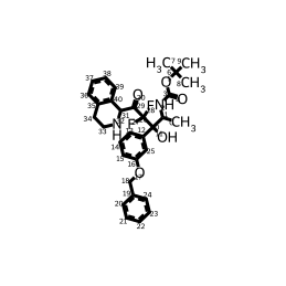 CC(NC(=O)OC(C)(C)C)C(O)(c1cccc(OCc2ccccc2)c1)C(F)(F)C(=O)C1NCCc2ccccc21